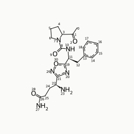 CC(=O)C1CCCN1C(=O)N[C@@H](Cc1ccccc1)c1nc([C@@H](N)CCC(N)=O)no1